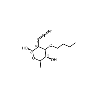 CCCCOC1[C@@H](O)C(C)O[C@@H](O)[C@H]1N=[N+]=[N-]